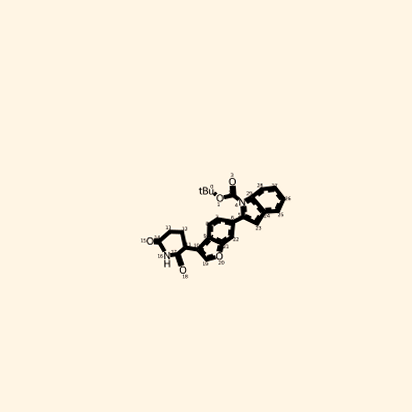 CC(C)(C)OC(=O)n1c(-c2ccc3c(C4CCC(=O)NC4=O)coc3c2)cc2ccccc21